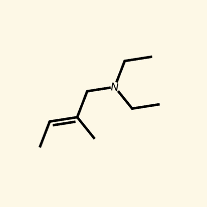 C/C=C(\C)CN(CC)CC